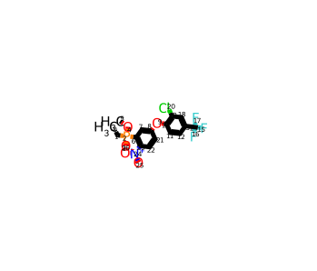 CCP(=O)(OC)c1cc(Oc2ccc(C(F)(F)F)cc2Cl)ccc1[N+](=O)[O-]